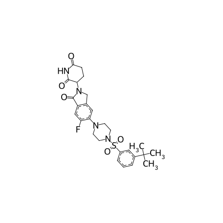 CC(C)(C)c1cccc(S(=O)(=O)N2CCN(c3cc4c(cc3F)C(=O)N(C3CCC(=O)NC3=O)C4)CC2)c1